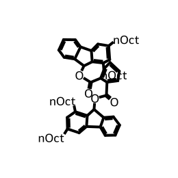 CCCCCCCCc1cc(CCCCCCCC)c2c(c1)-c1ccccc1C2OC(=O)c1ccccc1C(=O)OC1c2ccccc2-c2cc(CCCCCCCC)cc(CCCCCCCC)c21